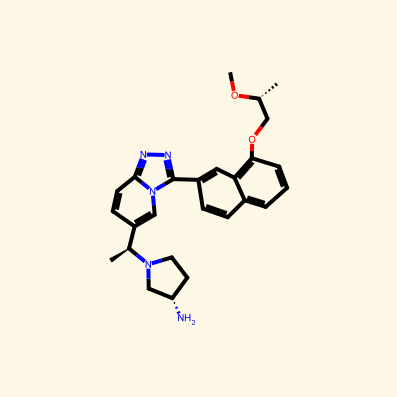 CO[C@H](C)COc1cccc2ccc(-c3nnc4ccc([C@H](C)N5CC[C@H](N)C5)cn34)cc12